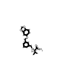 CC(C)[C@H](NCc1cccc(COc2ccc3c(c2)OCO3)c1)C(N)=O